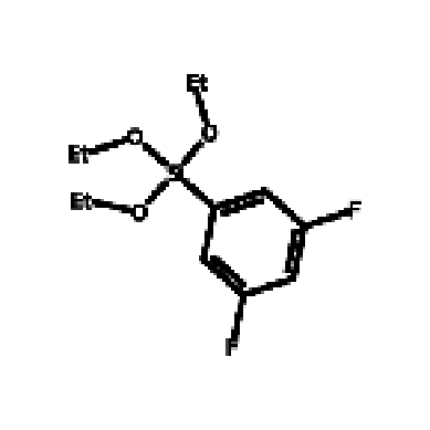 CCO[Si](OCC)(OCC)c1cc(F)cc(F)c1